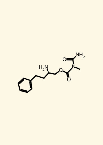 CN(C(N)=O)C(=O)OC[C@H](N)CCc1ccccc1